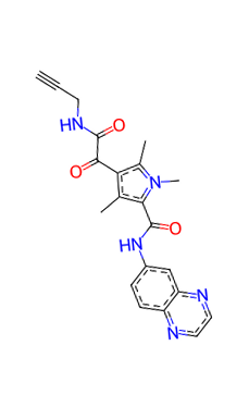 C#CCNC(=O)C(=O)c1c(C)c(C(=O)Nc2ccc3nccnc3c2)n(C)c1C